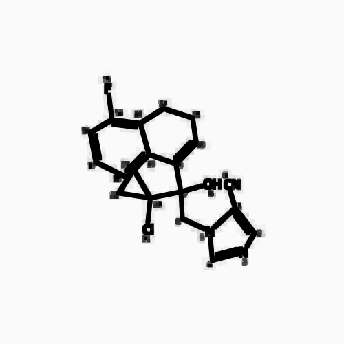 N#Cc1cncn1CC(O)(C1=CCCc2c(F)cccc21)C1(Cl)CC1